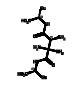 CCC(C)[C@H](NC(=O)[C@@H](N)C(N)(N)C(=O)N[C@H](C(=O)O)C(C)CC)C(=O)O